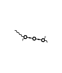 CCCCCCCc1ccc(C#Cc2ccc(C#Cc3ccc(CC)c(F)c3)cc2)cc1F